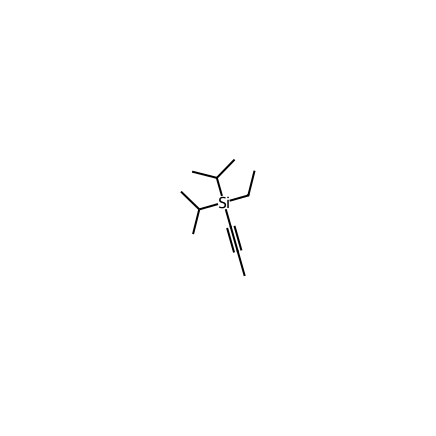 CC#C[Si](CC)(C(C)C)C(C)C